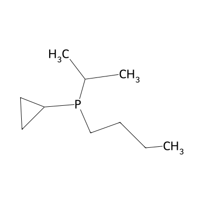 CCCCP(C(C)C)C1CC1